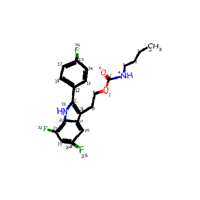 CCCCNC(=O)OCCc1c(-c2ccc(F)cc2)[nH]c2c(F)cc(F)cc12